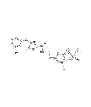 CC(C)c1cccc(Oc2nc(C(=O)NCCc3cc(F)c(NS(C)(=O)=O)c(F)c3)cs2)c1